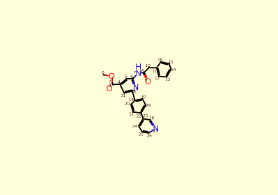 COC(=O)c1cc(NC(=O)Cc2ccccc2)nc(-c2ccc(-c3cccnc3)cc2)c1